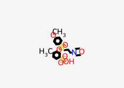 COc1ccc(S(=O)(=O)CCCN2CCOCC2)cc1.Cc1ccc(S(=O)(=O)O)cc1